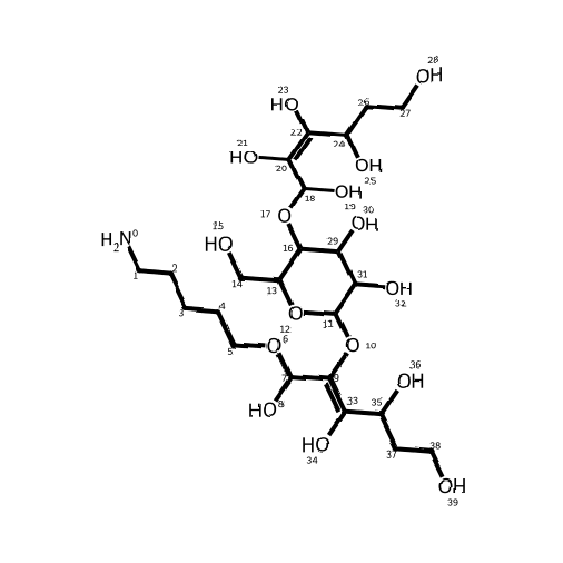 NCCCCCOC(O)/C(OC1OC(CO)C(OC(O)/C(O)=C(/O)C(O)CCO)C(O)C1O)=C(\O)C(O)CCO